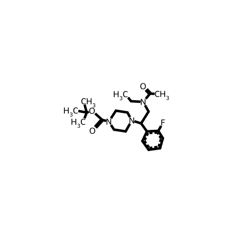 CCN(CC(c1ccccc1F)N1CCN(C(=O)OC(C)(C)C)CC1)C(C)=O